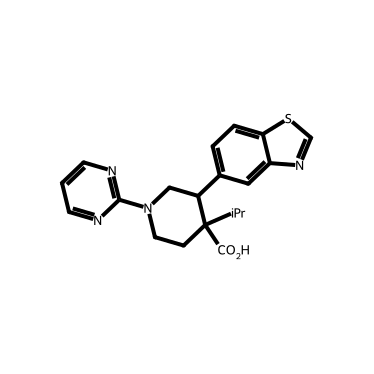 CC(C)C1(C(=O)O)CCN(c2ncccn2)CC1c1ccc2scnc2c1